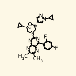 Cc1nc2nc(N3C[C@@H](c4cnn(C5CC5)c4)O[C@@H](C4CC4)C3)nc(-c3ccc(F)cc3F)c2nc1C